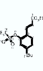 CCOC(=O)C=Cc1ccc(C(C)(C)C)cc1OS(=O)(=O)C(F)(F)F